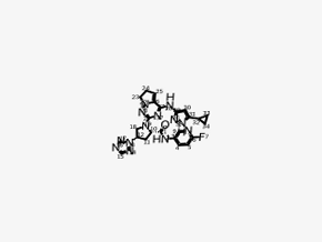 O=C(Nc1ccc(F)nc1)[C@@H]1C[C@@H](n2ncnn2)CN1C1=NN2CCC=C2C(Nc2cc(C3CC3)[nH]n2)=N1